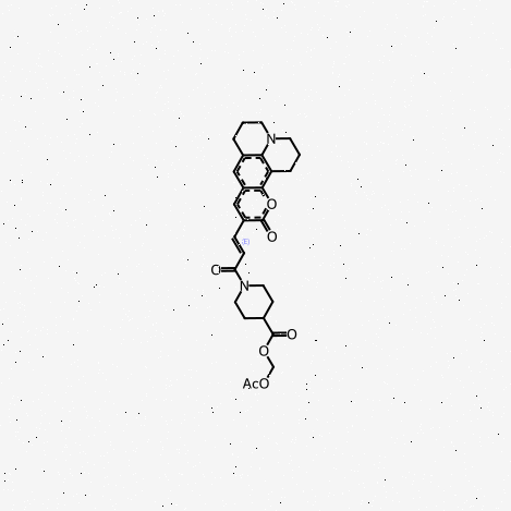 CC(=O)OCOC(=O)C1CCN(C(=O)/C=C/c2cc3cc4c5c(c3oc2=O)CCCN5CCC4)CC1